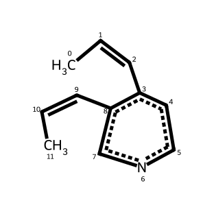 C/C=C\c1ccncc1/C=C\C